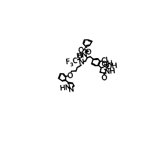 O=C1CC(c2ccc(CC(CN(CCCCOc3ccccc3-c3ccn[nH]3)C(=O)C(F)(F)F)NS(=O)(=O)c3ccccc3)cc2Cl)S(O)(O)N1